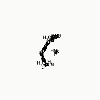 Cn1c(=O)n(C2CCC(=O)NC2=O)c2cccc(CN3CCC4(CC3)CC(N3CCC5(CCN(c6nccc(COc7ccc(C(C)(C)c8cc(Cl)cc(C#N)c8)cc7)n6)CC5)CC3)C4)c21.O=C(O)C(F)(F)F